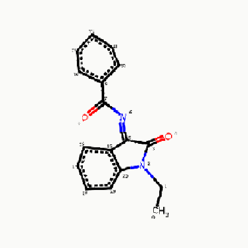 CCN1C(=O)/C(=N/C(=O)c2ccccc2)c2ccccc21